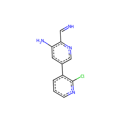 N=Cc1ncc(-c2cccnc2Cl)cc1N